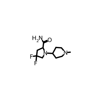 CN1CCC(N2CC(F)(F)CC2C(N)=O)CC1